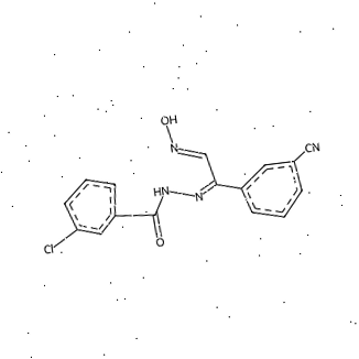 N#Cc1cccc(C(/C=N/O)=N/NC(=O)c2cccc(Cl)c2)c1